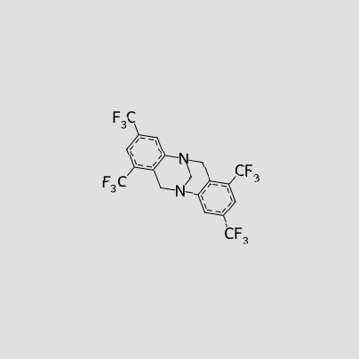 FC(F)(F)c1cc2c(c(C(F)(F)F)c1)CN1CN2Cc2c1cc(C(F)(F)F)cc2C(F)(F)F